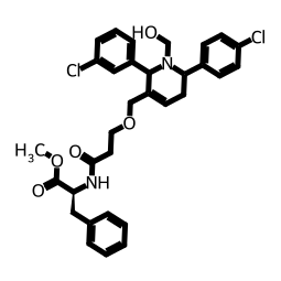 COC(=O)[C@H](Cc1ccccc1)NC(=O)CCOCC1=CCC(c2ccc(Cl)cc2)N(CO)C1c1cccc(Cl)c1